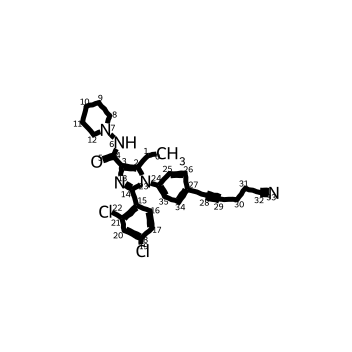 CCc1c(C(=O)NN2CCCCC2)nc(-c2ccc(Cl)cc2Cl)n1-c1ccc(C#CCCC#N)cc1